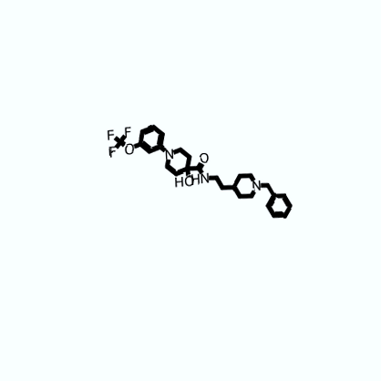 O=C(NCCC1CCN(Cc2ccccc2)CC1)C1(O)CCN(c2cccc(OC(F)(F)F)c2)CC1